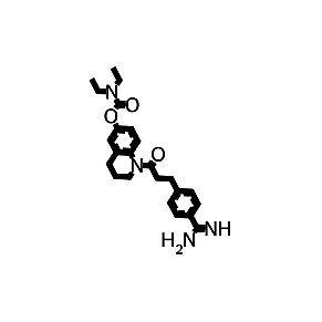 CCN(CC)C(=O)Oc1ccc2c(c1)CCCN2C(=O)CCc1ccc(C(=N)N)cc1